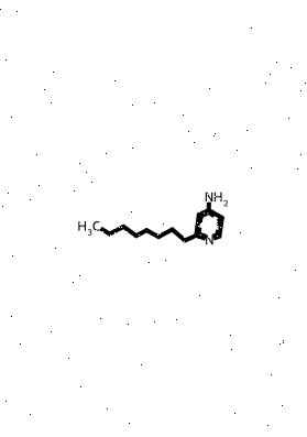 CCCCCCCCc1cc(N)ccn1